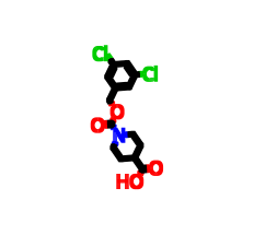 O=C(O)C1CCN(C(=O)OCc2cc(Cl)cc(Cl)c2)CC1